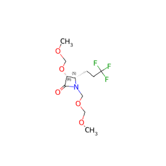 COCOCN1C(=O)[C@H](OCOC)[C@@H]1CCC(F)(F)F